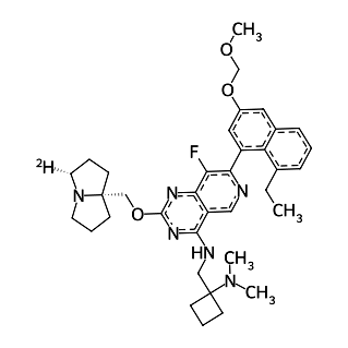 [2H][C@@H]1CC[C@@]2(COc3nc(NCC4(N(C)C)CCC4)c4cnc(-c5cc(OCOC)cc6cccc(CC)c56)c(F)c4n3)CCCN12